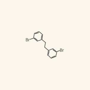 Brc1cccc(CCc2cccc(Br)c2)c1